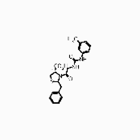 Cc1cccc(NC(=O)NCC(=O)N2C(Cc3ccccc3)SC[C@H]2C(=O)O)c1